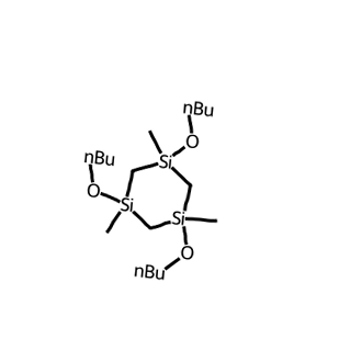 CCCCO[Si]1(C)C[Si](C)(OCCCC)C[Si](C)(OCCCC)C1